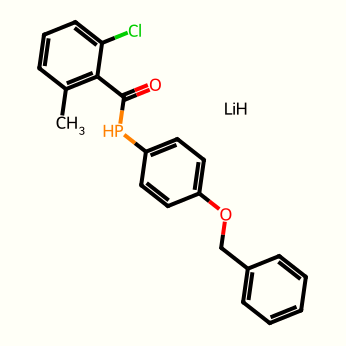 Cc1cccc(Cl)c1C(=O)Pc1ccc(OCc2ccccc2)cc1.[LiH]